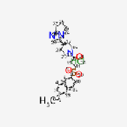 CCc1ccc2cc(S(=O)(=O)CCC(=O)N3CCC(c4cnc5n4CCCC5)CC3)ccc2c1.Cl